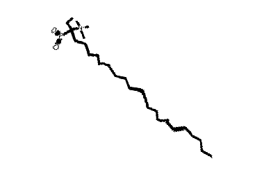 CCCCC=CCCCCCCCCCCCCCCC(CC)(P(=O)=O)[N+](C)(C)C